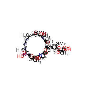 COC1C(=O)[C@H](C)C[C@H](C)/C=C/C=C/C=C(\C)C(OPO)C[C@@H]2CC[C@@H](C)[C@](O)(O2)C(=O)C(=O)N2CCCC[C@H]2C(=O)O[C@H]([C@H](C)C[C@@H]2CC[C@@H](OC(=O)C(C)(CO)CO)[C@H](OC)C2)CC(=O)[C@H](C)/C=C(\C)[C@H]1O